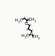 CCC(C)OCCCN(C)C